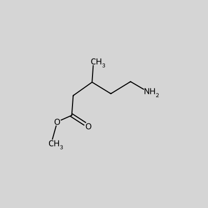 COC(=O)CC(C)CCN